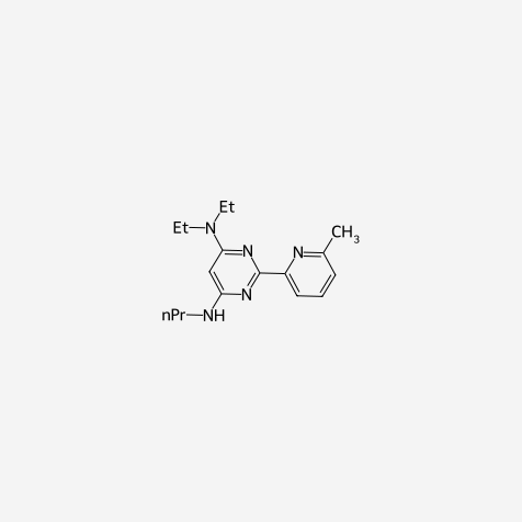 CCCNc1cc(N(CC)CC)nc(-c2cccc(C)n2)n1